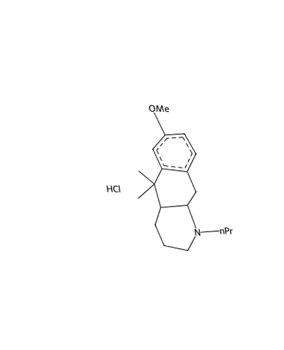 CCCN1CCCC2C1Cc1ccc(OC)cc1C2(C)C.Cl